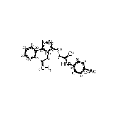 C=CCn1c(SCC(=O)Nc2ccc(C(C)=O)cc2)nnc1-c1cccnc1